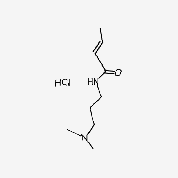 CC=CC(=O)NCCCN(C)C.Cl